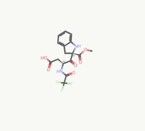 COC(=O)[C@@]1(C(=O)[C@H](CC(=O)O)NC(=O)C(F)(F)F)Cc2ccccc2N1